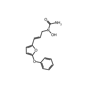 NC(=O)N(O)CC=Cc1ccc(Oc2ccccc2)o1